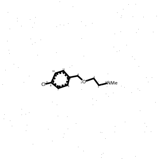 CNCCOCc1ccc(Cl)cc1